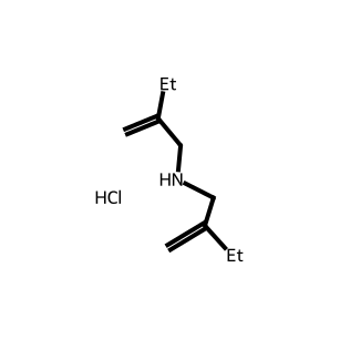 C=C(CC)CNCC(=C)CC.Cl